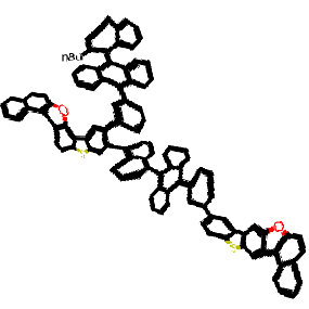 CCCCc1ccc2ccccc2c1-c1c2ccccc2c(-c2cccc(-c3cc4c(cc3-c3cccc5c(-c6c7ccccc7c(-c7cccc(-c8ccc9sc%10cc%11c(cc%10c9c8)oc8ccc9ccccc9c8%11)c7)c7ccccc67)cccc35)sc3ccc5c(oc6ccc7ccccc7c65)c34)c2)c2ccccc12